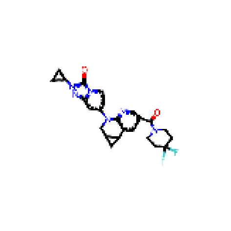 O=C(c1cnc2c(c1)C1CC1CN2c1ccn2c(=O)n(C3CC3)nc2c1)N1CCC(F)(F)CC1